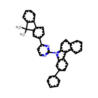 CC1(C)c2ccccc2-c2ccc(-c3ccnc(-n4c5cc(-c6ccccc6)ccc5c5c6ccccc6ccc54)n3)cc21